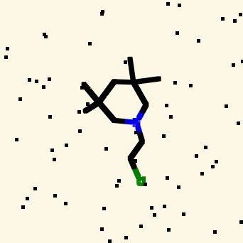 CC1(C)CN(CCCl)CC(C)(C)C1